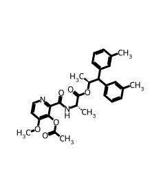 COc1ccnc(C(=O)N[C@@H](C)C(=O)O[C@@H](C)C(c2cccc(C)c2)c2cccc(C)c2)c1OC(C)=O